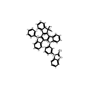 CCc1nc2ccccc2n1-c1cccc(-n2c3ccccc3c3c4c(c5c(c6ccccc6n5-c5ccccc5)c32)-c2ccccc2C4(C)C)c1